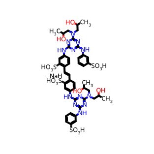 CC(O)CN(CC(C)O)c1nc(Nc2cccc(S(=O)(=O)O)c2)nc(Nc2ccc(/C=C/c3ccc(Nc4nc(Nc5cccc(S(=O)(=O)O)c5)nc(N(CC(C)O)CC(C)O)n4)cc3S(=O)(=O)O)c(S(=O)(=O)O)c2)n1.[NaH]